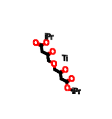 CC(C)OC(=O)CC(=O)COCC(=O)CC(=O)OC(C)C.[Ti]